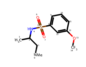 CNCC(C)NS(=O)(=O)c1cccc(OC(F)(F)F)c1